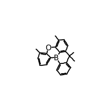 Cc1cccc2c1Oc1c(C)ccc3c1B2c1ccccc1C3(C)C